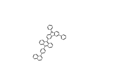 c1ccc(-c2ccc3c(c2)c2cc(-c4c5ccccc5c(-c5ccc(-c6cccc7ccccc67)cc5)c5ccccc45)ccc2n3-c2ccccc2)cc1